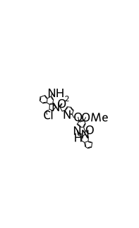 COc1cc2c(cc1OCc1cccc(CC(=O)N3C[C@@H](CCl)c4c3cc(N)c3ccccc43)n1)N=C[C@@H]1Cc3ccccc3CN1C2=O